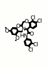 COc1ccc(CN2C(=O)COc3c(ccc(Cl)c3Cl)C2C(=O)Nc2ccc(Cl)c(Cl)c2)c(OC)c1